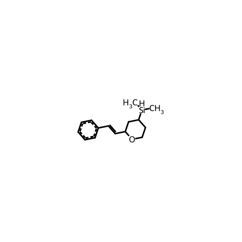 C[SiH](C)C1CCOC(C=Cc2ccccc2)C1